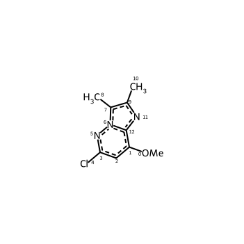 COc1cc(Cl)nn2c(C)c(C)nc12